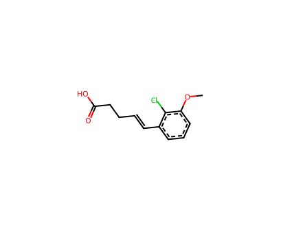 COc1cccc(C=CCCC(=O)O)c1Cl